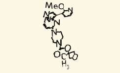 COc1ncccc1-c1cnn2ccc(N3CCN(C(=O)OC4(C)COC4)CC3)nc12